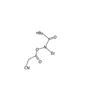 CCCCC(=O)N(CC)OC(=O)CC#N